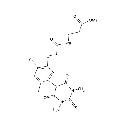 COC(=O)CCNC(=O)COc1cc(-n2c(=O)n(C)c(=S)n(C)c2=O)c(F)cc1Cl